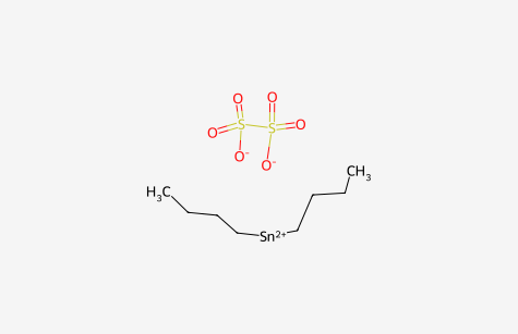 CCC[CH2][Sn+2][CH2]CCC.O=S(=O)([O-])S(=O)(=O)[O-]